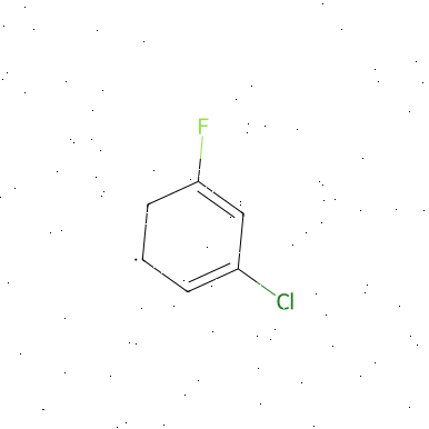 FC1=CC(Cl)=C[CH]C1